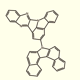 c1ccc2c(c1)ccc1c2c2c3ccccc3ccc2n1-c1cc2c3ccccc3n3c4nc5ccccc5nc4c(c1)c23